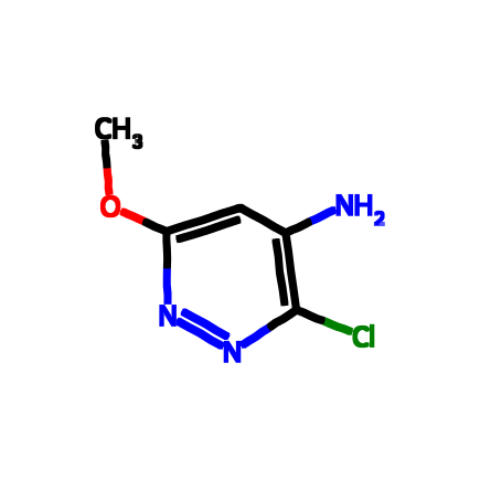 COc1cc(N)c(Cl)nn1